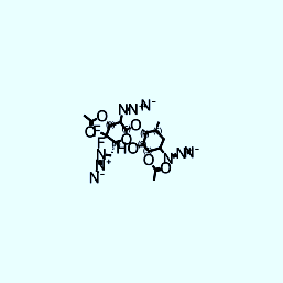 CC(=O)O[C@@H]1C(N=[N+]=[N-])[C@@H](O[C@H]2[C@H](O)[C@@H](OC(C)=O)C(N=[N+]=[N-])C[C@@H]2C)O[C@H](CN=[N+]=[N-])C1(F)F